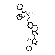 CC(CCc1ccc2c(c1)CCc1nc(-c3onc(-c4ccccc4)c3C(F)(F)F)sc1-2)(N=C(c1ccccc1)c1ccccc1)C(=O)O